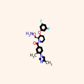 Cc1cn(-c2ccc(C(=O)N3CCC[C@H](Oc4cc(F)cc(F)c4)[C@@H]3CON)cc2C)cn1